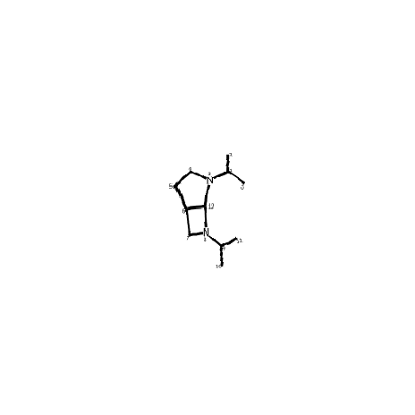 CC(C)N1CCC2CN(C(C)C)C21